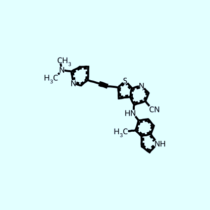 Cc1c(Nc2c(C#N)cnc3sc(C#Cc4ccc(N(C)C)nc4)cc23)ccc2[nH]ccc12